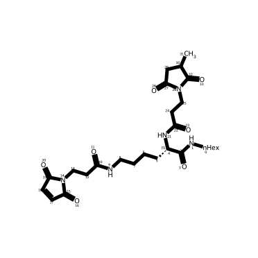 CCCCCCNC(=O)[C@H](CCCCNC(=O)CCN1C(=O)C=CC1=O)NC(=O)CCN1C(=O)CC(C)C1=O